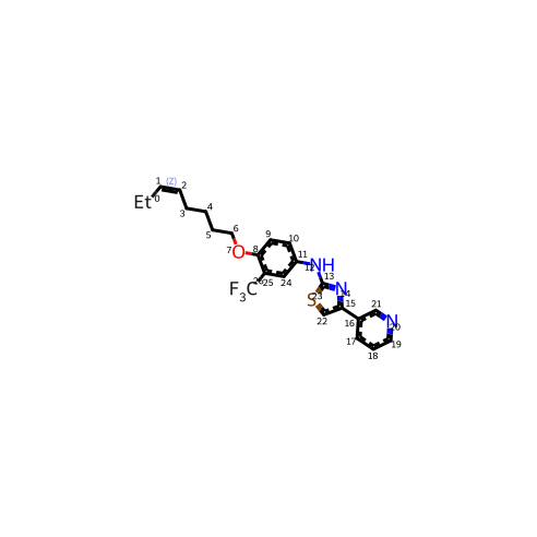 CC/C=C\CCCCOc1ccc(Nc2nc(-c3cccnc3)cs2)cc1C(F)(F)F